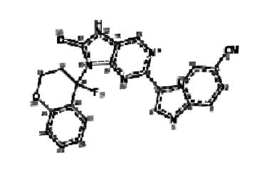 N#Cc1ccc2ncc(-c3ncc4[nH]c(=O)n(C5(F)CCOc6ccccc65)c4n3)n2c1